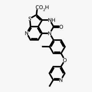 Cc1ccc(Oc2ccc(N3C(=O)Nc4c(C(=O)O)sc5nccc3c45)c(C)c2)cn1